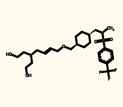 CN(C[C@H]1CC[C@H](COCC=CCN(CCO)CCO)CC1)S(=O)(=O)c1ccc(C(F)(F)F)cc1